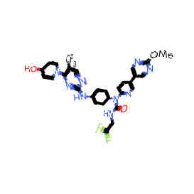 COc1ncc(-c2ccc(N(C(=O)NCC(F)F)[C@H]3CC[C@H](Nc4ncc(C(F)(F)F)c(N5CCC(O)CC5)n4)CC3)nc2)cn1